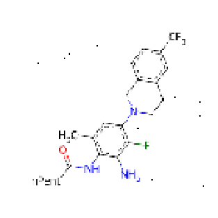 CCCCCC(=O)Nc1c(C)cc(N2CCc3cc(C(F)(F)F)ccc3C2)c(F)c1N